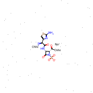 CO/N=C(\C(=O)N[C@H]1C(=O)N(S(=O)(=O)[O-])[C@H]1C(=O)OC)c1csc(N)n1.[Na+]